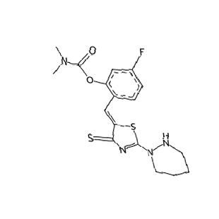 CN(C)C(=O)Oc1cc(F)ccc1/C=C1\SC(N2CCCCN2)=NC1=S